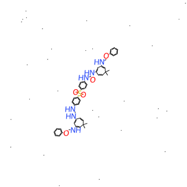 CC1(C)C=CC(NCNc2ccc(S(=O)(=O)c3ccc(NC(=O)NC4=CC(NCOc5ccccc5)=CC(C)(C)C=C4)cc3)cc2)=CC(NCOc2ccccc2)=C1